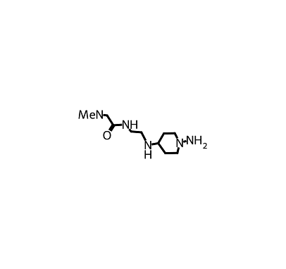 CNCC(=O)NCCNC1CCN(N)CC1